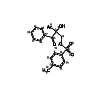 CC(=O)C(O)(COS(=O)(=O)c1ccc(C)cc1)C(=O)c1ccccc1